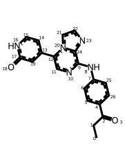 CCC(=O)c1ccc(Nc2ncc(-c3cc[nH]c(=O)c3)n3ccnc23)cc1